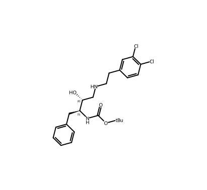 CC(C)(C)OC(=O)N[C@@H](Cc1ccccc1)[C@H](O)CNCCc1ccc(Cl)c(Cl)c1